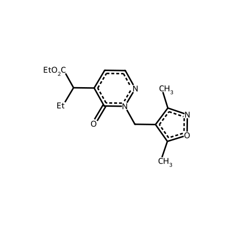 CCOC(=O)C(CC)c1ccnn(Cc2c(C)noc2C)c1=O